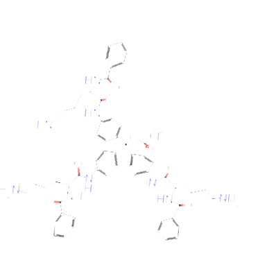 NCCCC[C@H](NC(=O)c1ccccc1)C(=O)Nc1ccc(C(OC(=O)C(F)(F)F)(c2ccc(NC(=O)[C@H](CCCCN)NC(=O)c3ccccc3)cc2)c2ccc(NC(=O)[C@H](CCCCN)NC(=O)c3ccccc3)cc2)cc1